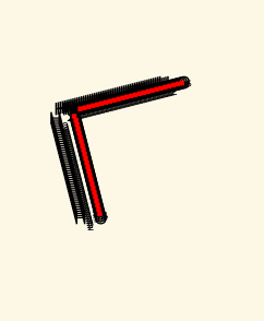 CCOCC.CCOCC.O.O.O.O.O.O.O.O.O.O.O.O.O.O.O.O.O.O.O.O.O.O.O.O.O.O.O.O.O.O.O.O.O.O.O.O.O.O.O.O.O.O.O.O.O.O.O.O.O.O.O.O.O.O.O.O.O.O.O.O.O.O.O.O.O.O.O.O.O.O.O.O.O.O.O.O.O.O.O.O.O.O.O.O.O.O.O.O.O.O.O.O.O.O.O.O.O.O